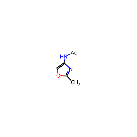 CC(=O)Nc1coc(C)n1